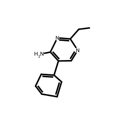 CCc1ncc(-c2ccccc2)c(N)n1